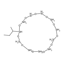 CCC(C)[SiH]1O[SiH2]O[SiH2]O[SiH2]O[SiH2]O[SiH2]O[SiH2]O[SiH2]O[SiH2]O[SiH2]O[SiH2]O1